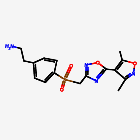 Cc1noc(C)c1-c1nc(CS(=O)(=O)c2ccc(CCN)cc2)no1